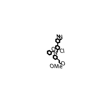 COC(=O)/C=C/c1cccc(N(Cc2ccc(-c3ccc4c(cnn4C)c3)cc2Cl)C(=O)c2ccccc2)c1